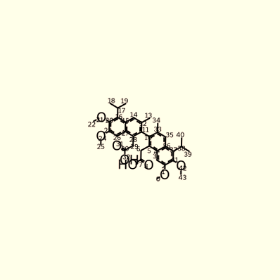 COc1cc2c(CC(=O)O)c(-c3c(C)cc4c(C(C)C)c(OC)c(OC)cc4c3CC(=O)O)c(C)cc2c(C(C)C)c1OC